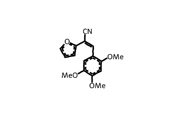 COc1cc(OC)c(OC)cc1C=C(C#N)c1ccco1